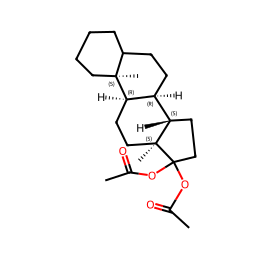 CC(=O)OC1(OC(C)=O)CC[C@H]2[C@@H]3CCC4CCCC[C@]4(C)[C@@H]3CC[C@@]21C